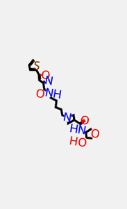 O=C(NCCCCCN1CC(C(=O)NC2COCC2O)C1)c1cc(-c2cccs2)on1